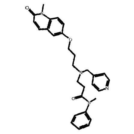 CN(C(=O)CCN(CCCOc1ccc2c(ccc(=O)n2C)c1)Cc1ccncc1)c1ccccc1